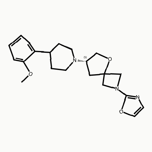 COc1ccccc1C1CCN([C@@H]2COC3(C2)CN(c2ncco2)C3)CC1